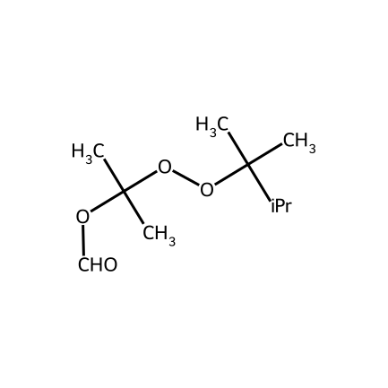 CC(C)C(C)(C)OOC(C)(C)OC=O